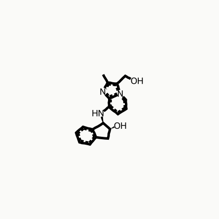 Cc1nc2c(N[C@@H]3c4ccccc4C[C@H]3O)cccn2c1CO